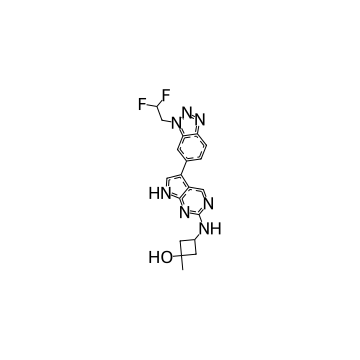 CC1(O)CC(Nc2ncc3c(-c4ccc5nnn(CC(F)F)c5c4)c[nH]c3n2)C1